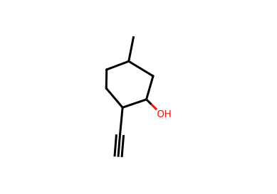 C#CC1CCC(C)CC1O